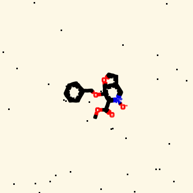 COC(=O)c1c(OCc2ccccc2)c2occc2c[n+]1[O-]